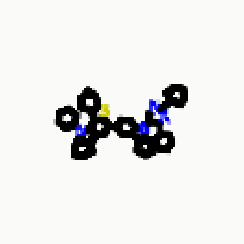 c1ccc(-c2ncc(-n3c4ccccc4c4cc(-c5cc6c7ccccc7n(-c7ccccc7)c6c6c5sc5ccccc56)ccc43)c(-c3ccccc3)n2)cc1